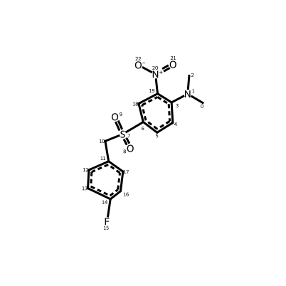 CN(C)c1ccc(S(=O)(=O)Cc2ccc(F)cc2)cc1[N+](=O)[O-]